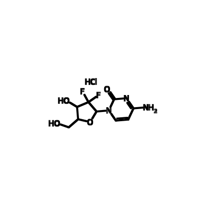 Cl.Nc1ccn(C2OC(CO)C(O)C2(F)F)c(=O)n1